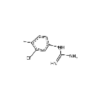 Cc1ccc(NC(=N)N)cc1Cl